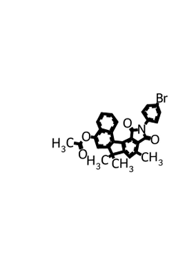 CC(=O)Oc1cc2c(c3ccccc13)-c1c(cc(C)c3c1C(=O)N(c1ccc(Br)cc1)C3=O)C2(C)C